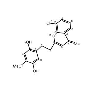 COc1cc(O)c(CCc2cc(=O)c3cccc(Cl)c3o2)cc1O